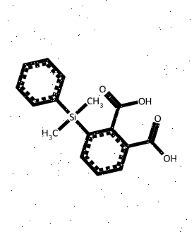 C[Si](C)(c1ccccc1)c1cccc(C(=O)O)c1C(=O)O